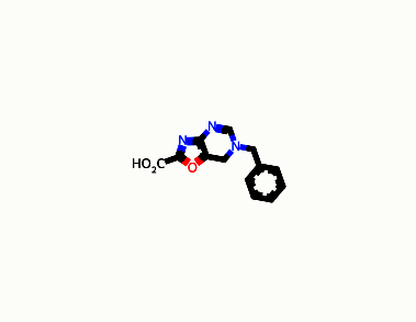 O=C(O)c1nc2c(o1)CN(Cc1ccccc1)C=N2